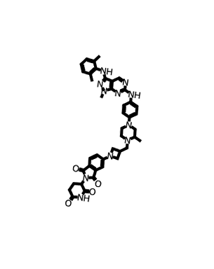 Cc1cccc(C)c1Nc1nn(C)c2nc(Nc3ccc(N4CCN(CC5CN(c6ccc7c(c6)C(=O)N(C6CCC(=O)NC6=O)C7=O)C5)C(C)C4)cc3)ncc12